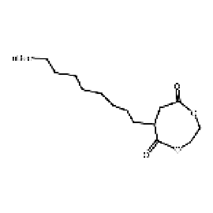 CCCCCCCCCCCCCCCCCCC1CC(=O)OCCOC1=O